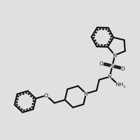 NN(CCN1CCC(COc2ccccc2)CC1)S(=O)(=O)N1CCc2ccccc21